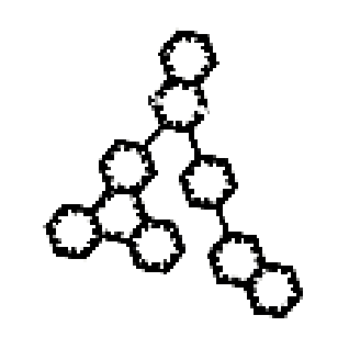 c1ccc2cc(-c3ccc(-c4nc5ccccc5nc4-c4ccc5c6ccccc6c6ccccc6c5c4)cc3)ccc2c1